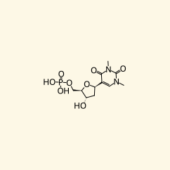 Cn1cc([C@H]2C[C@H](O)[C@@H](COP(=O)(O)O)O2)c(=O)n(C)c1=O